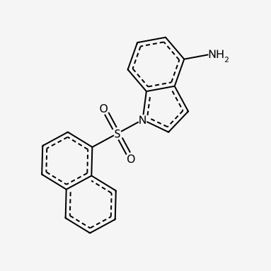 Nc1cccc2c1ccn2S(=O)(=O)c1cccc2ccccc12